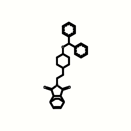 O=C1C2C3C=CC(CC3)C2C(=O)N1CCN1CCC(OC(c2ccccc2)c2ccccc2)CC1